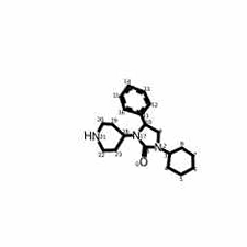 O=C1N(C2CCCCC2)CC(c2ccccc2)N1C1CCNCC1